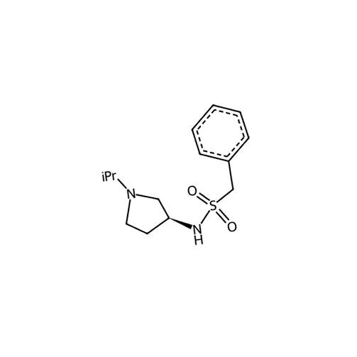 CC(C)N1CC[C@H](NS(=O)(=O)Cc2ccccc2)C1